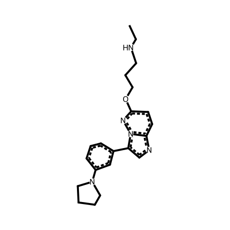 CCNCCCOc1ccc2ncc(-c3cccc(N4CCCC4)c3)n2n1